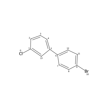 Clc1cccc(-c2ccc(Br)cc2)c1